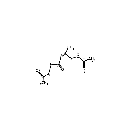 CC(=O)CCC(=O)OC(C)COC(C)=O